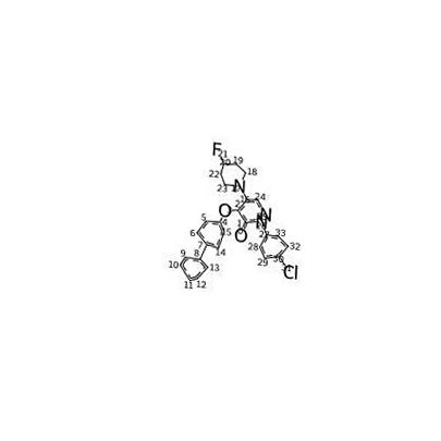 O=c1c(Oc2ccc(-c3ccccc3)cc2)c(N2CCC(F)CC2)cnn1-c1ccc(Cl)cc1